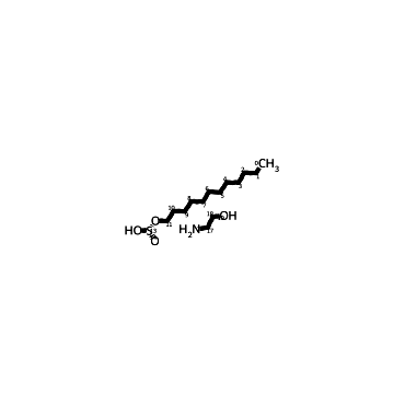 CCCCCCCCCCCCOS(=O)O.NCCO